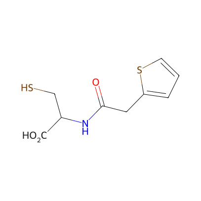 O=C(Cc1cccs1)NC(CS)C(=O)O